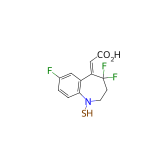 O=C(O)/C=C1/c2cc(F)ccc2N(S)CCC1(F)F